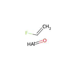 C=CF.[O]=[AlH]